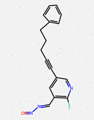 O=NN=Cc1cc(C#CCCCc2ccccc2)cnc1F